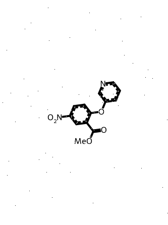 COC(=O)c1cc([N+](=O)[O-])ccc1Oc1cccnc1